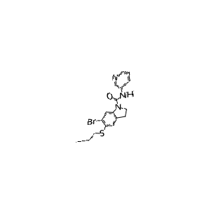 CCCSc1cc2c(cc1Br)N(C(=O)Nc1cccnc1)CC2